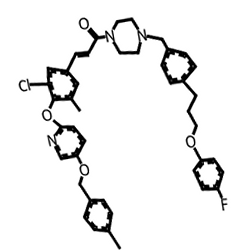 Cc1ccc(COc2ccc(Oc3c(C)cc(C=CC(=O)N4CCN(Cc5ccc(CCCOc6ccc(F)cc6)cc5)CC4)cc3Cl)nc2)cc1